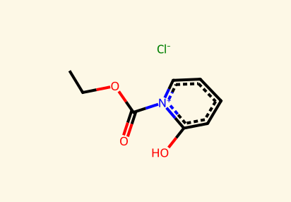 CCOC(=O)[n+]1ccccc1O.[Cl-]